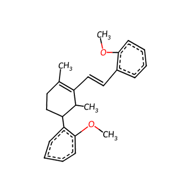 COc1ccccc1/C=C/C1=C(C)CCC(c2ccccc2OC)C1C